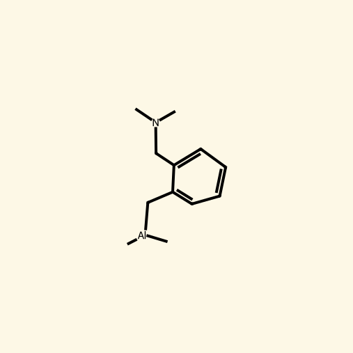 CN(C)Cc1ccccc1[CH2][Al]([CH3])[CH3]